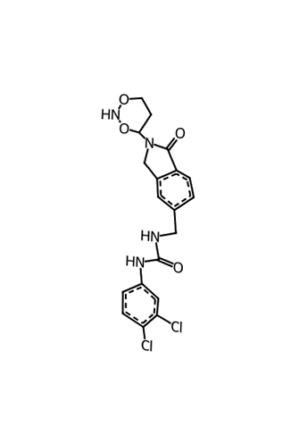 O=C(NCc1ccc2c(c1)CN(C1CCONO1)C2=O)Nc1ccc(Cl)c(Cl)c1